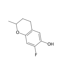 CC1CCc2cc(O)c(F)cc2O1